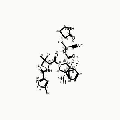 Cc1cc(C(=O)N[C@H](C(=O)N2C[C@H]3[C@@H]([C@H]2C(=O)N[C@H](C#N)C[C@@H]2CCNC2=O)[C@H]2C=C[C@@H]3C2)C(C)(C)C)no1